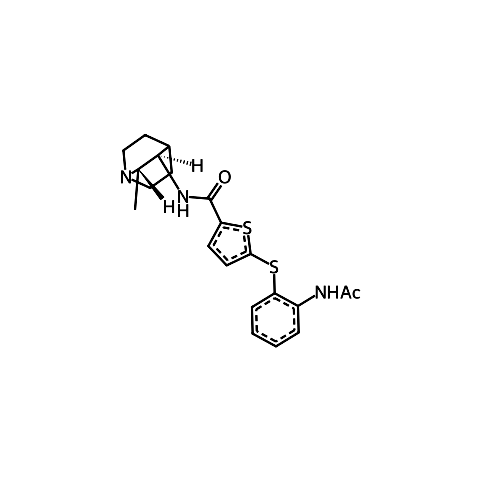 CC(=O)Nc1ccccc1Sc1ccc(C(=O)N[C@@H]2C3CCN(CC3)[C@H]2C)s1